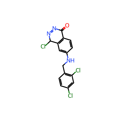 O=C1N=NC(Cl)c2cc(NCc3ccc(Cl)cc3Cl)ccc21